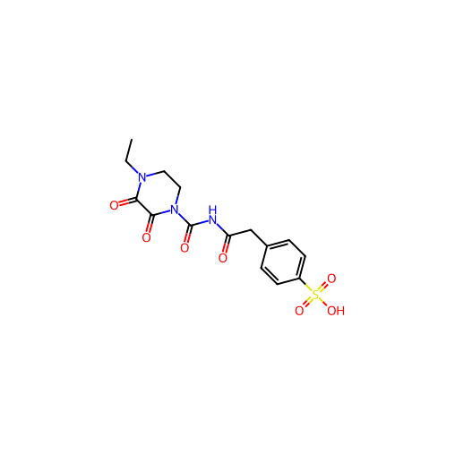 CCN1CCN(C(=O)NC(=O)Cc2ccc(S(=O)(=O)O)cc2)C(=O)C1=O